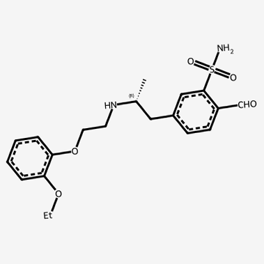 CCOc1ccccc1OCCN[C@H](C)Cc1ccc(C=O)c(S(N)(=O)=O)c1